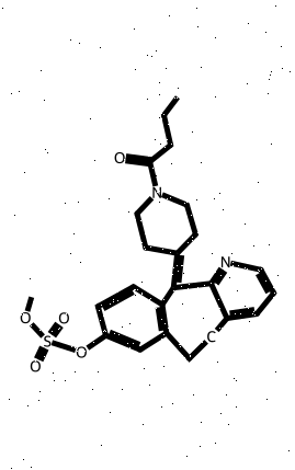 CCCC(=O)N1CCC(=C2c3ccc(OS(=O)(=O)OC)cc3CCc3cccnc32)CC1